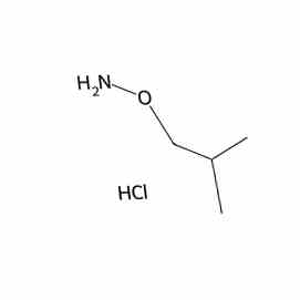 CC(C)CON.Cl